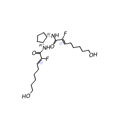 O=C(N[C@H]1CCC[C@H]1NC(=O)/C(F)=C/CCCCCO)/C(F)=C/CCCCCO